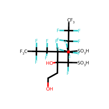 O=S(=O)(O)C(F)(F)C(F)(C(F)(F)C(F)(F)C(F)(F)F)C(O)(CCO)C(F)(C(F)(F)C(F)(F)C(F)(F)C(F)(F)F)S(=O)(=O)O